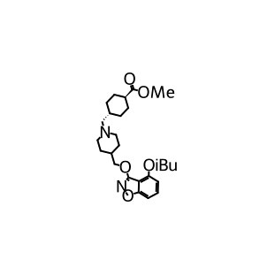 COC(=O)[C@H]1CC[C@H](CN2CCC(COc3noc4cccc(OCC(C)C)c34)CC2)CC1